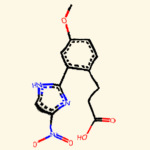 COc1ccc(CCC(=O)O)c(-c2nc([N+](=O)[O-])c[nH]2)c1